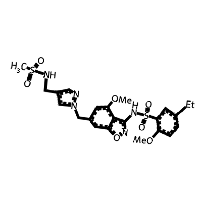 CCc1ccc(OC)c(S(=O)(=O)Nc2noc3cc(Cn4cc(CNS(C)(=O)=O)cn4)cc(OC)c23)c1